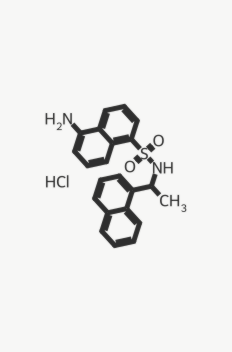 CC(NS(=O)(=O)c1cccc2c(N)cccc12)c1cccc2ccccc12.Cl